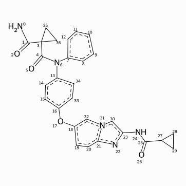 NC(=O)C1(C(=O)N(c2ccccc2)c2ccc(Oc3ccc4nc(NC(=O)C5CC5)cn4c3)cc2)CC1